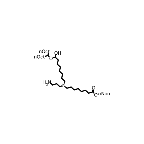 CCCCCCCCCOC(=O)CCCCCCCN(CCCN)CCCCCCCC(O)OC(CCCCCCCC)CCCCCCCC